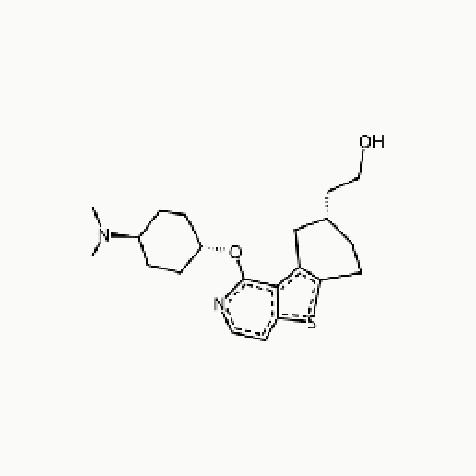 CN(C)[C@H]1CC[C@H](Oc2nccc3sc4c(c23)C[C@H](CCO)CC4)CC1